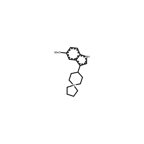 COc1ccc2[nH]cc(C3CC[N+]4(CCCC4)CC3)c2c1